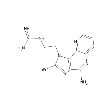 CCCc1nc2c(N)nc3cccnc3c2n1CCNC(=N)N